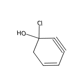 OC1(Cl)C#CC=CC1